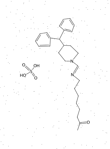 CC(=O)CCCCCCN=CN1CCC(C(c2ccccc2)c2ccccc2)CC1.O=S(=O)(O)O